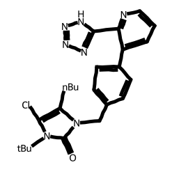 CCCCc1c(Cl)n(C(C)(C)C)c(=O)n1Cc1ccc(-c2cccnc2-c2nnn[nH]2)cc1